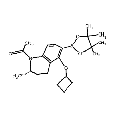 CC(=O)N1c2ccc(B3OC(C)(C)C(C)(C)O3)c(OC3CCC3)c2CC[C@@H]1C